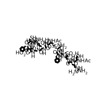 CC(=O)N[C@@H](CO)C(=O)N[C@@H](CCCNC(N)N)C(=O)NCC(=O)N[C@@H](CC(=O)O)C(=O)N[C@@H](Cc1ccccc1)C(=O)N[C@@H](CSSC[C@H](NC(C)=O)C(=O)N[C@@H](CO)C(=O)N[C@@H](CCCNC(N)N)C(=O)NCC(=O)N[C@@H](CC(=O)O)C(=O)C(=O)[C@H](Cc1ccccc1)NC(=O)[C@@H](N)CS)C(N)=O